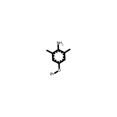 Cc1cc(OC(C)C)cc(C)c1N